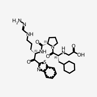 NN=CNCCC[C@H](NC(=O)[C@@H]1CCCN1C(=O)[C@@H](CC1CCCCC1)NCC(=O)O)C(=O)c1nc2ccccc2s1